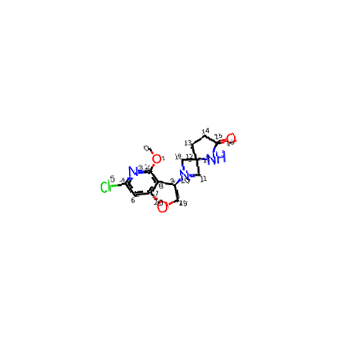 COc1nc(Cl)cc2c1[C@@H](N1CC3(CCC(=O)N3)C1)CO2